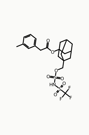 Cc1cccc(CC(=O)OC23CC4CC(CC(COS(=O)(=O)NS(=O)(=O)C(F)(F)F)(C4)C2)C3)c1